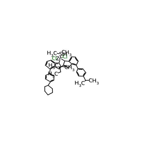 CCC(C)C1=Cc2c(-c3ccc(C(C)C)cc3)cccc2[CH]1[Zr]([Cl])([Cl])([CH]1C(C)=Cc2c(-c3ccc(C4CCCCC4)cc3)cccc21)[SiH](C)C